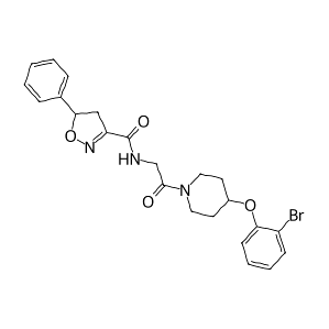 O=C(NCC(=O)N1CCC(Oc2ccccc2Br)CC1)C1=NOC(c2ccccc2)C1